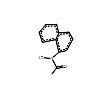 CC(=O)N(O)c1cccc2ccccc12